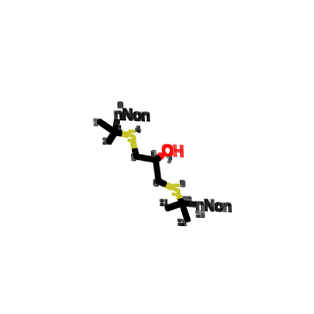 CCCCCCCCCC(C)(C)SCC(O)CSC(C)(C)CCCCCCCCC